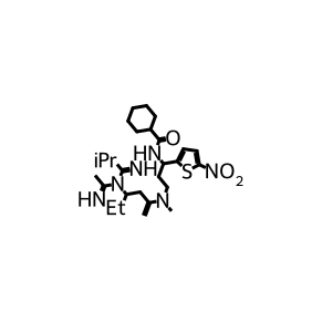 C=C(CC(CC)N(C(C)=N)C(=N)C(C)C)N(C)CCC(NC(=O)C1CCCCC1)c1ccc([N+](=O)[O-])s1